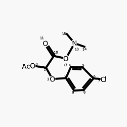 CC(=O)OC(Oc1ccc(Cl)cc1)C(=O)ON(C)C